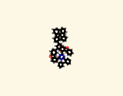 c1ccc(-c2ccccc2-c2nc(-c3cccc4oc5ccccc5c34)nc(-c3cccc4oc5ccc(-c6cccc(-c7ccc8c(c7)C7(c9ccccc9-c9ccccc97)c7ccccc7-8)c6)cc5c34)n2)cc1